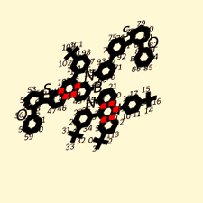 CC(C)(C)c1ccc(N(c2ccc(C(C)(C)C)cc2)c2ccc3c(c2)N(c2ccc(C(C)(C)C)cc2-c2ccccc2)c2cc(-c4ccc5c(c4)sc4ccc6oc7ccccc7c6c45)cc4c2B3c2ccc(-c3ccc5sc6ccc7oc8ccccc8c7c6c5c3)cc2N4c2ccc(C(C)(C)C)cc2-c2ccccc2)cc1